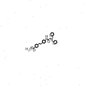 COC(=O)c1ccc(C=Cc2ccc(NC(=O)CN(Cc3ccccn3)Cc3ccccn3)cc2)cc1